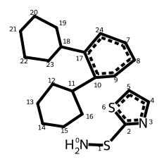 NSc1nccs1.c1ccc(C2CCCCC2)c(C2CCCCC2)c1